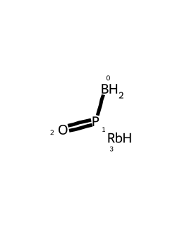 BP=O.[RbH]